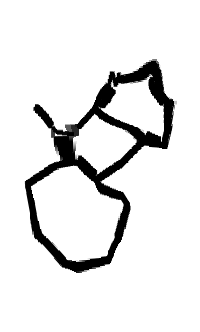 Cn1c2c(c3cccnc31)CCCCC2